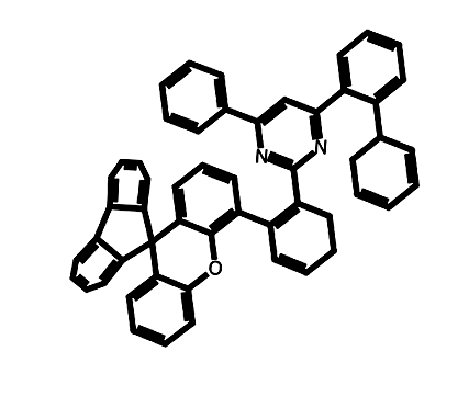 C1=CCC(c2ccccc2-c2cc(-c3ccccc3)nc(C3=C(c4cccc5c4Oc4ccccc4C54c5ccccc5-c5ccccc54)C=CCC3)n2)C=C1